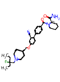 CCC(F)(CC)CN1CCC(COc2ccc(-c3ccc(C(=O)N4CCCC[C@@H]4C(N)=O)cc3)c(C#N)c2)CC1